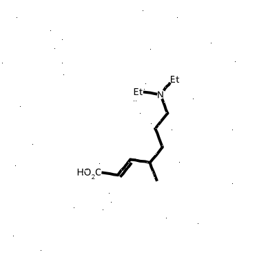 CCN(CC)CCCC(C)C=CC(=O)O